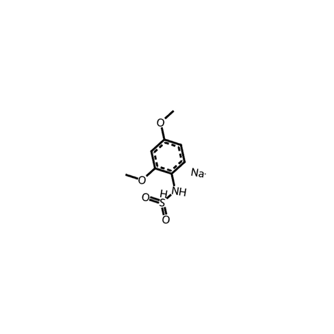 COc1ccc(N[SH](=O)=O)c(OC)c1.[Na]